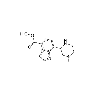 COC(=O)c1ccc(C2CNCCN2)c2nccn12